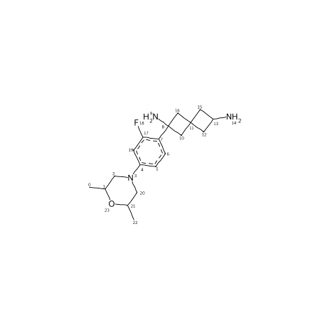 CC1CN(c2ccc(C3(N)CC4(CC(N)C4)C3)c(F)c2)CC(C)O1